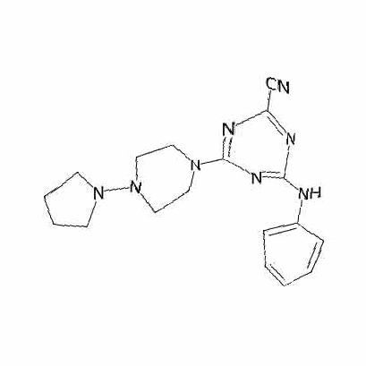 N#Cc1nc(Nc2ccccc2)nc(N2CCN(N3CCCC3)CC2)n1